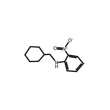 O=[N+]([O-])c1c[c]ccc1NCC1CCCCC1